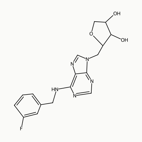 OC1COC(Cn2cnc3c(NCc4cccc(F)c4)ncnc32)C1O